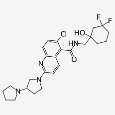 O=C(NCC1(O)CCCC(F)(F)C1)c1c(Cl)ccc2nc(N3CCC(N4CCCC4)C3)ccc12